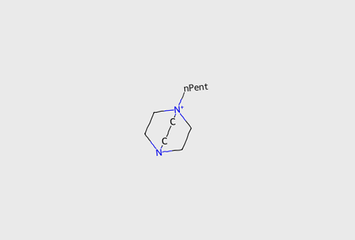 CCCCC[N+]12CCN(CC1)CC2